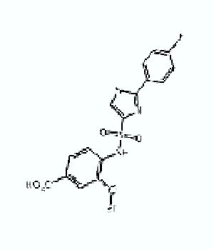 CCOc1cc(C(=O)O)ccc1NS(=O)(=O)c1csc(-c2ccc(F)cc2)n1